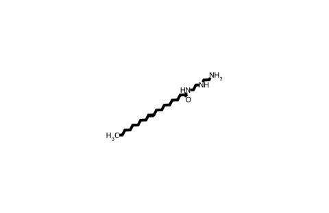 CCCCCCCC/C=C/CCCCCCCC(=O)NCCNCCN